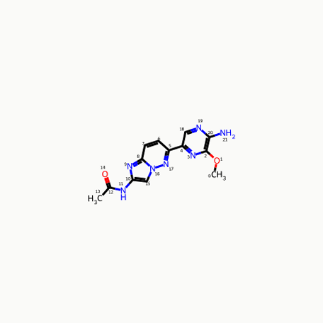 COc1nc(-c2ccc3nc(NC(C)=O)cn3n2)cnc1N